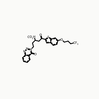 O=C(CC(CCn1nnc2ccccc2c1=O)C(=O)O)c1cc2ccc(OCCCC(F)(F)F)cc2s1